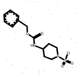 O=C(NC1CCN(S(=O)(=O)Cl)CC1)OCc1ccccc1